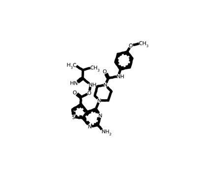 COc1ccc(NC(=O)N2CCN(c3nc(N)nc4scc(C(=O)ONC(=N)C(C)C)c34)CC2)cc1